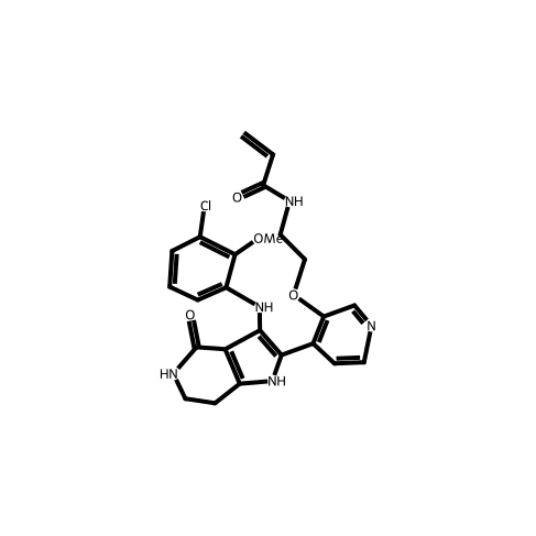 C=CC(=O)NCCOc1cnccc1-c1[nH]c2c(c1Nc1cccc(Cl)c1OC)C(=O)NCC2